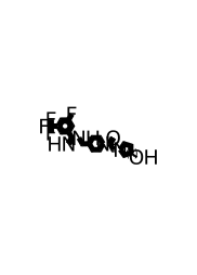 N=C(NCC1CCN(C(=O)CN2CC[C@@H](O)C2)CC1)c1cc(F)cc(C(F)(F)F)c1